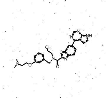 CN(C)CCOc1cccc(CN(CCO)C(=O)c2nc3ccc(-c4ncnc5[nH]ccc45)cc3o2)c1